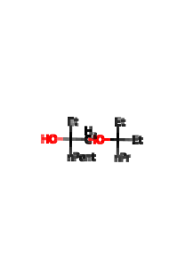 CCCC(O)(CC)CC.CCCCCC(C)(O)CC